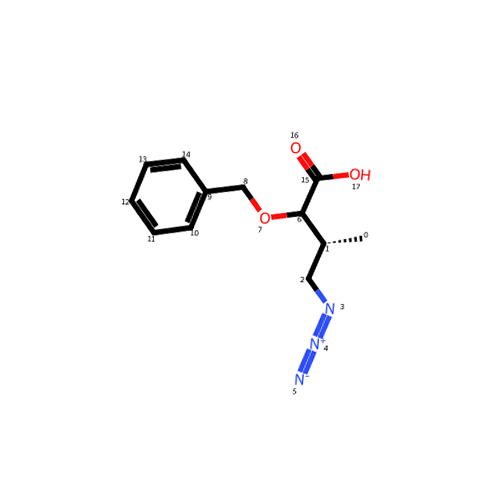 C[C@H](CN=[N+]=[N-])C(OCc1ccccc1)C(=O)O